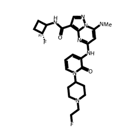 CNc1cc(Nc2cccn(C3CCN(CCF)CC3)c2=O)nc2c(C(=O)NC3CC[C@H]3F)cnn12